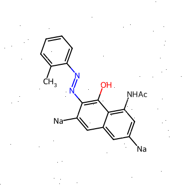 CC(=O)Nc1c[c]([Na])cc2c[c]([Na])c(N=Nc3ccccc3C)c(O)c12